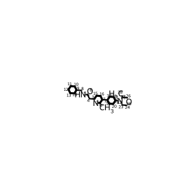 Cc1nc(CC(=O)NCc2ccccc2)ccc1-c1ccc(N2CCOC[C@H]2C)cc1